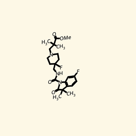 COC(=O)C(C)(C)CN1CCC(F)(CNC(=O)N2C(=O)C(C)(C)c3ccc(F)cc32)CC1